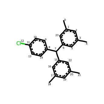 Cc1cc(C)cc(C(c2ccc(Cl)cc2)c2cc(C)cc(C)c2)c1